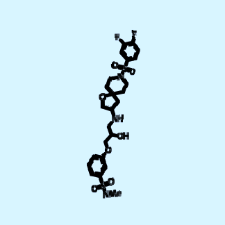 CNS(=O)(=O)c1cccc(OCC(O)CNC2COC3(CCN(S(=O)(=O)c4ccc(F)c(F)c4)CC3)C2)c1